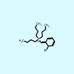 CCCC[PH](C=C1C=CC=CC1Br)(CCCC)CCCC